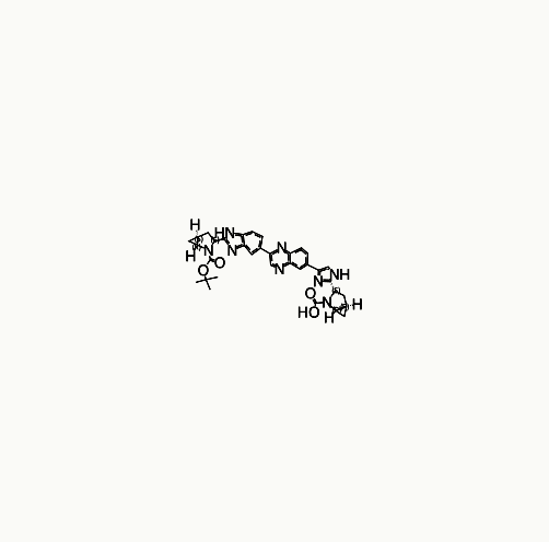 CC(C)(C)OC(=O)N1[C@@H]2C[C@H]2C[C@H]1c1nc2cc(-c3cnc4cc(-c5c[nH]c([C@@H]6C[C@H]7C[C@H]7N6C(=O)O)n5)ccc4n3)ccc2[nH]1